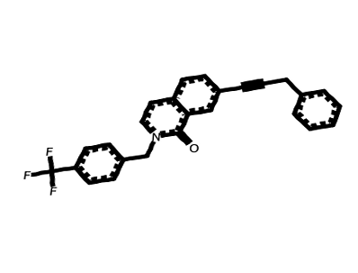 O=c1c2cc(C#CCc3ccccc3)ccc2ccn1Cc1ccc(C(F)(F)F)cc1